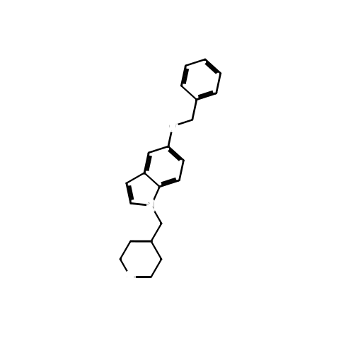 [c]1cn(CC2CCOCC2)c2ccc(OCc3ccccc3)cc12